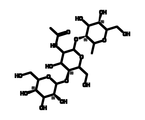 CC(=O)NC1C(O[C@H]2C(C)OC(CO)[C@@H](O)C2O)OC(CO)[C@@H](OC2OC(CO)[C@H](O)C(O)[C@@H]2O)C1O